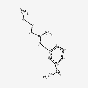 CCCC[C@@H](N)Cc1cccc(OC)c1